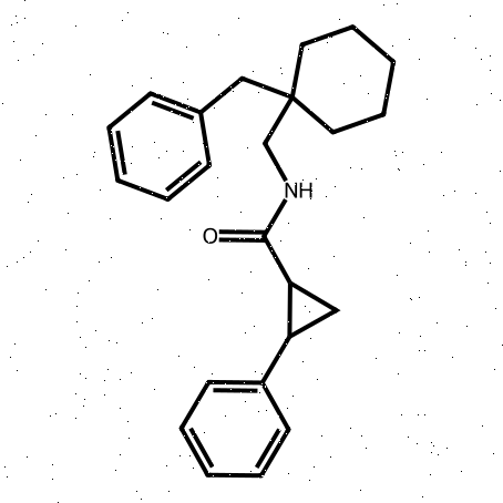 O=C(NCC1(Cc2ccccc2)CCCCC1)C1CC1c1ccccc1